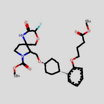 CC(C)(C)OC(=O)CCCOc1ccccc1[C@H]1CC[C@@H](OCC2N(C(=O)OC(C)(C)C)CCC23COC(F)C(=O)N3)CC1